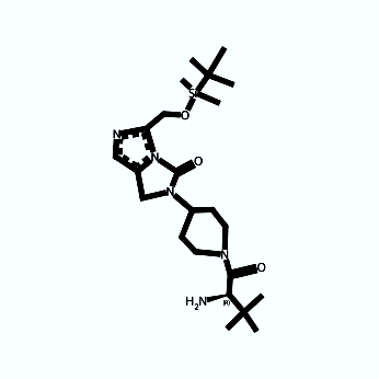 CC(C)(C)[C@@H](N)C(=O)N1CCC(N2Cc3cnc(CO[Si](C)(C)C(C)(C)C)n3C2=O)CC1